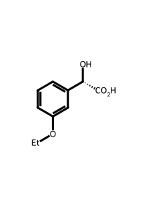 CCOc1cccc([C@H](O)C(=O)O)c1